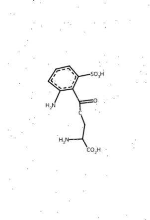 Nc1cccc(S(=O)(=O)O)c1C(=O)CCC(N)C(=O)O